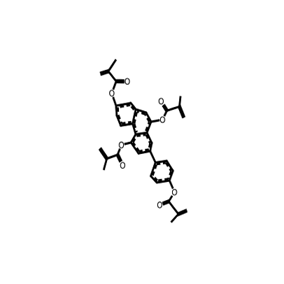 C=C(C)C(=O)Oc1ccc(-c2cc(OC(=O)C(=C)C)c3c(c2)c(OC(=O)C(=C)C)cc2cc(OC(=O)C(=C)C)ccc23)cc1